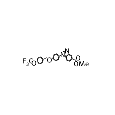 COC(=O)c1ccc2c(c1)ncn2-c1ccc(OCc2ccc(OC(F)(F)F)cc2)cc1